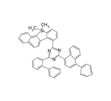 C[Si]1(C)c2cccc(-c3nc(-c4ccccc4-c4ccccc4)nc(-c4ccc(-c5ccccc5)c5ccccc45)n3)c2-c2ccc3ccccc3c21